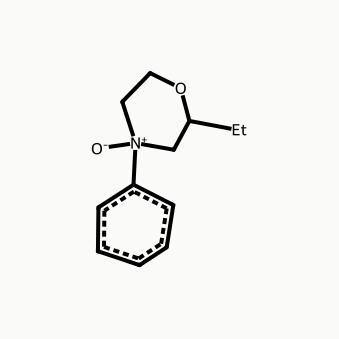 CCC1C[N+]([O-])(c2ccccc2)CCO1